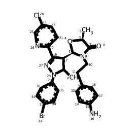 CC1C([C@H]2O[C@@H](C)C(=O)N2CCc2ccc(N)cc2)C(c2ccc(Cl)cn2)=NN1c1ccc(Br)cc1